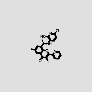 Cc1cc([C@@H](C)Nc2ccc(Cl)nc2C#N)c2oc(-c3ccccn3)c(I)c(=O)c2c1